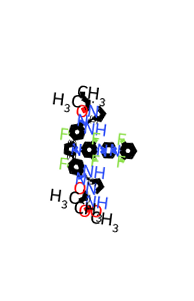 COC(=O)N[C@H](C(=O)N1CCC[C@H]1c1nc2cc(F)c([C@H]3CC[C@H](c4cc5[nH]c([C@@H]6CCCN6C(=O)[CH]C(C)C)nc5cc4F)N3c3cc(F)c(N4CCN(c5c(F)cccc5F)CC4)c(F)c3)cc2[nH]1)C(C)C